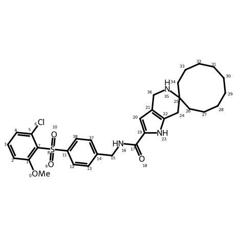 COc1cccc(Cl)c1S(=O)(=O)c1ccc(CNC(=O)c2cc3c([nH]2)CC2(CCCCCCCCC2)NC3)cc1